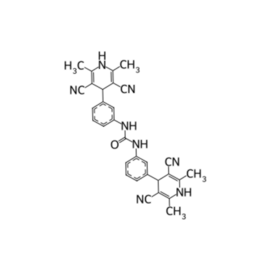 CC1=C(C#N)C(c2cccc(NC(=O)Nc3cccc(C4C(C#N)=C(C)NC(C)=C4C#N)c3)c2)C(C#N)=C(C)N1